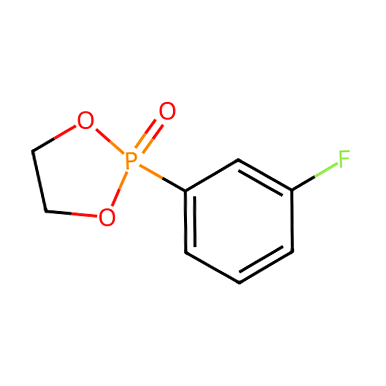 O=P1(c2cccc(F)c2)OCCO1